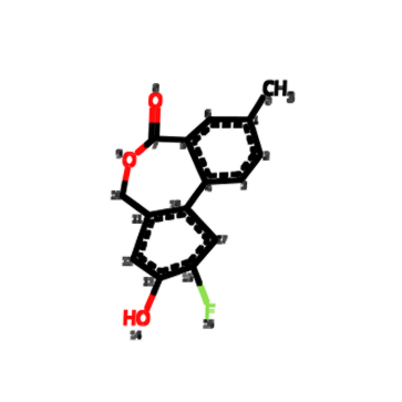 Cc1ccc2c(c1)C(=O)OCc1cc(O)c(F)cc1-2